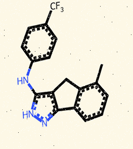 Cc1cccc2c1Cc1c-2n[nH]c1Nc1ccc(C(F)(F)F)cc1